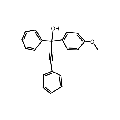 COc1ccc(C(O)(C#Cc2ccccc2)c2ccccc2)cc1